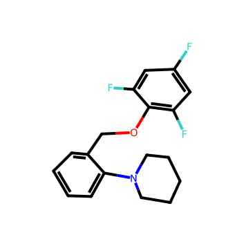 Fc1cc(F)c(OCc2ccccc2N2CCCCC2)c(F)c1